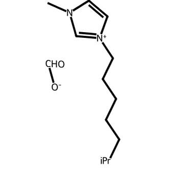 CC(C)CCCCC[n+]1ccn(C)c1.O=C[O-]